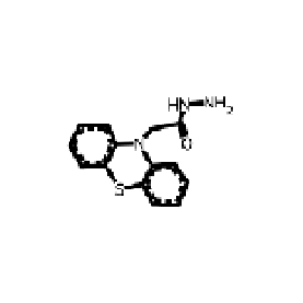 NNC(=O)CN1c2ccccc2Sc2ccccc21